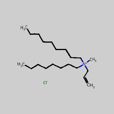 C=CC[N+](C)(CCCCCCCC)CCCCCCCCC.[Cl-]